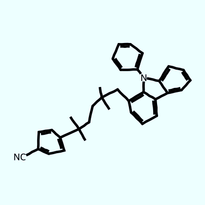 CC(C)(CCC(C)(C)c1ccc(C#N)cc1)Cc1cccc2c3ccccc3n(-c3ccccc3)c12